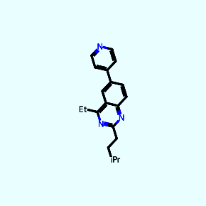 CCc1nc(CCC(C)C)nc2ccc(-c3ccncc3)cc12